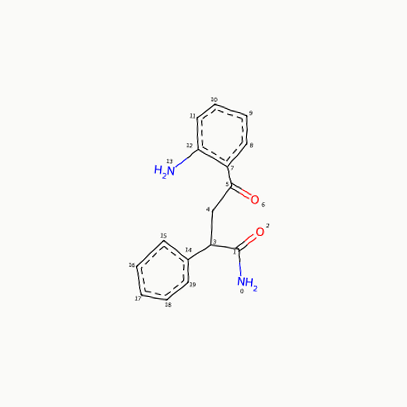 NC(=O)C(CC(=O)c1ccccc1N)c1ccccc1